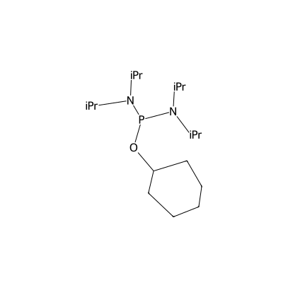 CC(C)N(C(C)C)P(OC1CCCCC1)N(C(C)C)C(C)C